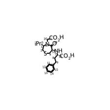 CC(C)[C@@H]1CSC[C@H](N[C@@H](CCc2ccccc2)C(=O)O)C(=O)N1CC(=O)O